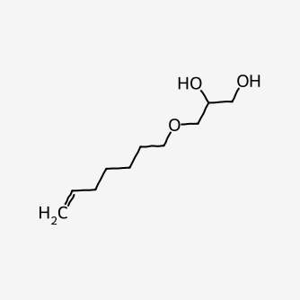 C=CCCCCCOCC(O)CO